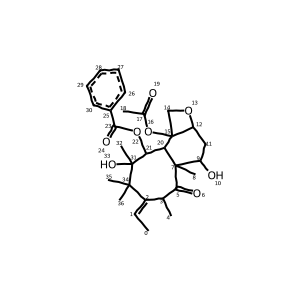 C/C=C1\C(C)C(=O)C2(C)C(O)CC3OCC3(OC(C)=O)C2C(OC(=O)c2ccccc2)C(C)(O)C1(C)C